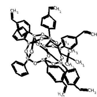 C=Cc1ccc([Si]23O[Si]4(CC(C)CC(C)(C)C)O[Si]5(c6ccccc6)O[Si](c6ccccc6)(O2)O[Si]2(c6ccc(C=C)cc6)O[Si](c6ccc(C=C)cc6)(O5)O[Si](c5ccc(C=C)cc5)(O4)O[Si](c4ccc(C=C)cc4)(O3)O2)cc1